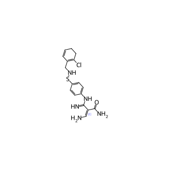 N=C(Nc1ccc(SNCC2=C(Cl)CCC=C2)cc1)/C(=C\N)C(N)=O